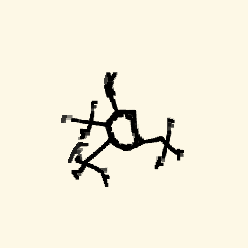 N#Cc1cc(C(F)(F)F)cc(C(F)(F)F)c1C(F)(F)F